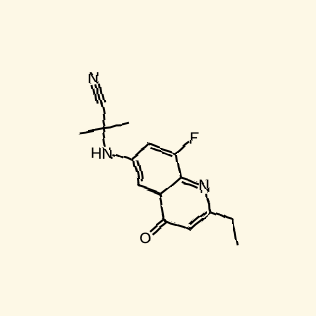 CCC1=CC(=O)C2C=C(NC(C)(C)C#N)C=C(F)C2=N1